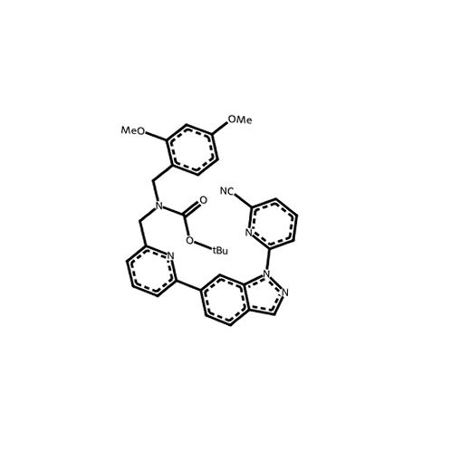 COc1ccc(CN(Cc2cccc(-c3ccc4cnn(-c5cccc(C#N)n5)c4c3)n2)C(=O)OC(C)(C)C)c(OC)c1